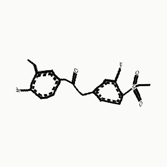 Cc1cc(C(=O)Cc2ccc(S(C)(=O)=O)c(F)c2)ccc1Br